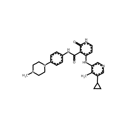 Cc1c(Nc2cc[nH]c(=O)c2C(=O)Nc2ccc(N3CCN(C)CC3)cc2)cncc1C1CC1